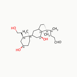 C[C@H](CCC=O)[C@H]1CCC2CC([C@@]3(C)CC[C@@H](O)C[C@H]3CCO)C[C@H](O)[C@@]21C